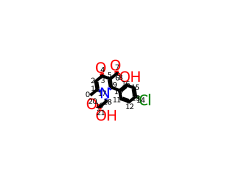 Cc1cc(=O)c(C(=O)O)c(-c2ccc(Cl)cc2)n1CC(=O)O